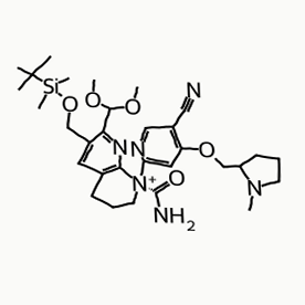 COC(OC)c1nc2c(cc1CO[Si](C)(C)C(C)(C)C)CCC[N@+]2(C(N)=O)c1cc(OCC2CCCN2C)c(C#N)cn1